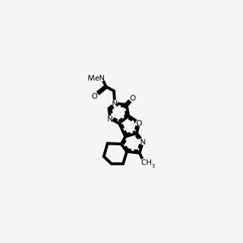 CNC(=O)Cn1cnc2c(oc3nc(C)c4c(c32)CCCC4)c1=O